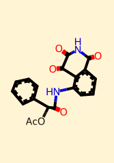 CC(=O)OC(C(=O)Nc1cccc2c1C(=O)C(=O)NC2=O)c1ccccc1